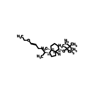 CCOC=CCCC(C)[C@H]1CC[C@H]2[C@@H](O[Si](C)(C)C(C)(C)C)CCC[C@]12C